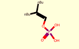 CCCCC(=COP(=O)(O)O)CCCC